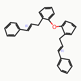 C(=C\c1ccccc1)/Cc1ccccc1Oc1ccccc1C/C=C/c1ccccc1